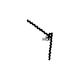 CCCCCCCCCCCCCCCCCCc1cc(C)cc(CCCCCCCCCCCCCCCC)c1S(=O)(=O)O